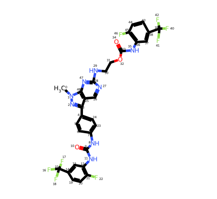 Cn1nc(-c2ccc(NC(=O)Nc3cc(C(F)(F)F)ccc3F)cc2)c2cnc(NCCOC(=O)Nc3cc(C(F)(F)F)ccc3F)nc21